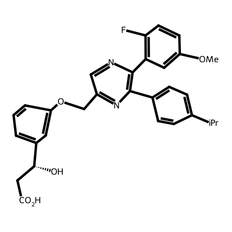 COc1ccc(F)c(-c2ncc(COc3cccc([C@H](O)CC(=O)O)c3)nc2-c2ccc(C(C)C)cc2)c1